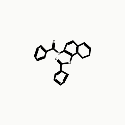 O=C(Oc1ccc2c(c1OC(=O)c1ccccc1)CCC=C2)c1ccccc1